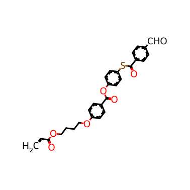 C=CC(=O)OCCCCOc1ccc(C(=O)Oc2ccc(SC(=O)c3ccc(C=O)cc3)cc2)cc1